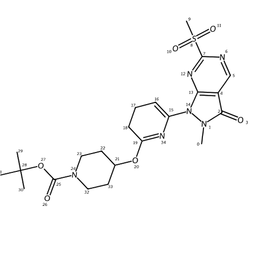 Cn1c(=O)c2cnc(S(C)(=O)=O)nc2n1C1=CCCC(OC2CCN(C(=O)OC(C)(C)C)CC2)=N1